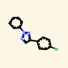 Brc1ccc(-c2cnn(-c3ccccc3)n2)cc1